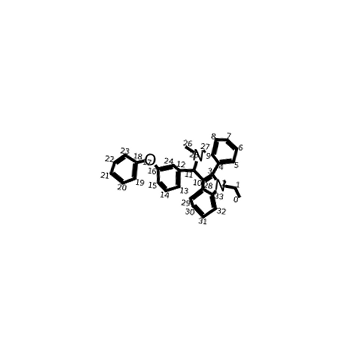 CCn1c(-c2ccccc2)c(C(c2cccc(Oc3ccccc3)c2)N(C)C)c2ccccc21